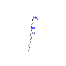 NCCCNCC(I)CCCCCCI